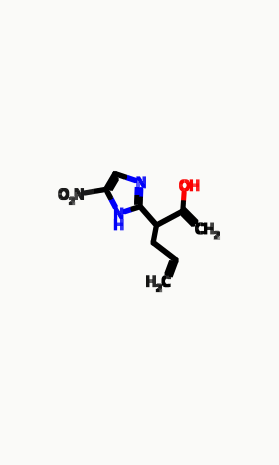 C=CCC(C(=C)O)c1ncc([N+](=O)[O-])[nH]1